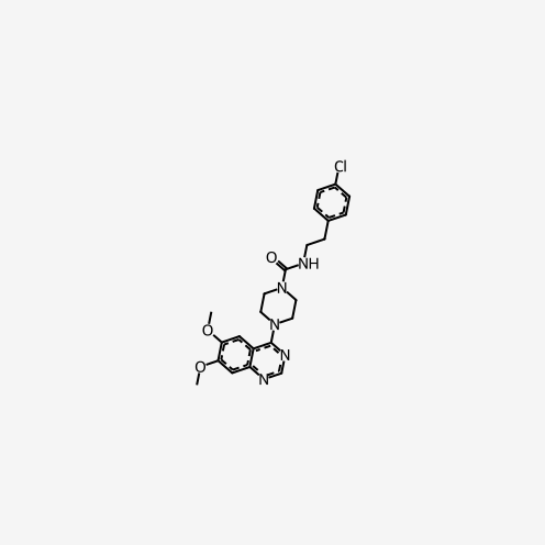 COc1cc2ncnc(N3CCN(C(=O)NCCc4ccc(Cl)cc4)CC3)c2cc1OC